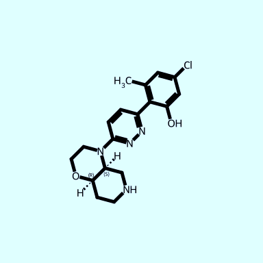 Cc1cc(Cl)cc(O)c1-c1ccc(N2CCO[C@@H]3CCNC[C@@H]32)nn1